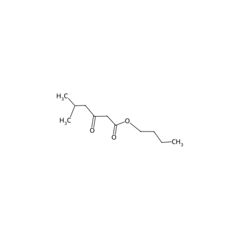 CCCCOC(=O)CC(=O)CC(C)C